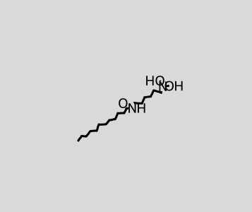 CCCCCCCCCCCC(=O)NCCCCCCN(O)O